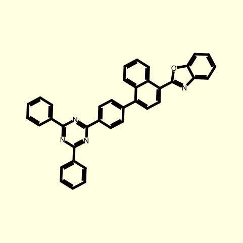 c1ccc(-c2nc(-c3ccccc3)nc(-c3ccc(-c4ccc(-c5nc6ccccc6o5)c5ccccc45)cc3)n2)cc1